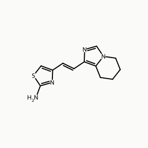 Nc1nc(/C=C/c2ncn3c2CCCC3)cs1